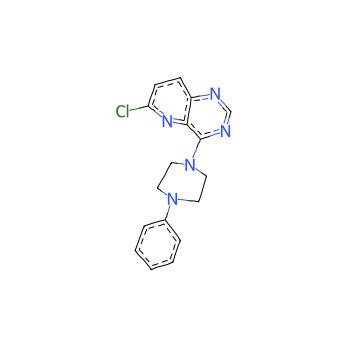 Clc1ccc2ncnc(N3CCN(c4ccccc4)CC3)c2n1